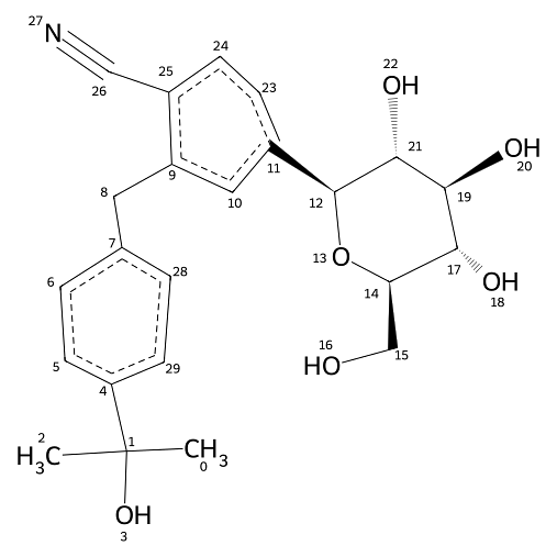 CC(C)(O)c1ccc(Cc2cc([C@@H]3O[C@H](CO)[C@@H](O)[C@H](O)[C@H]3O)ccc2C#N)cc1